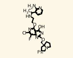 CC(NCCOc1nc(Cl)c(F)c2nc(OC[C@@]34CCCN3C[C@H](F)C4)nc(O)c12)c1cccnc1N